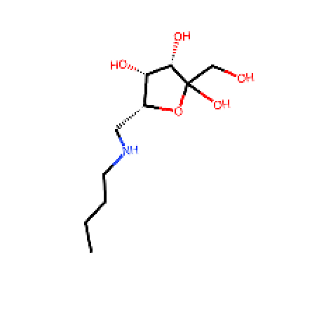 CCCCNC[C@H]1OC(O)(CO)[C@@H](O)[C@H]1O